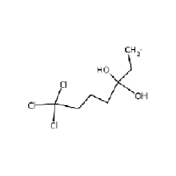 [CH2]CC(O)(O)CCCC(Cl)(Cl)Cl